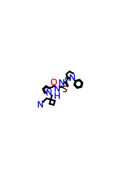 N#CCC1(Cn2cccc2C(=O)Nc2nc([C@H]3CCCN3c3ccccc3)cs2)CCC1